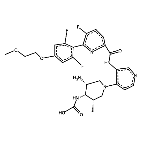 COCCOc1cc(F)c(-c2nc(C(=O)Nc3cnccc3N3C[C@@H](N)[C@@H](NC(=O)O)[C@@H](C)C3)ccc2F)c(F)c1